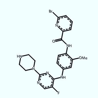 COc1cc(Nc2nc(N3CCNCC3)ncc2F)ccc1NC(=O)c1cccc(Br)n1